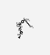 CN(CCCCCCN)C(=O)C1CCC(n2cc(NC(=O)c3coc(-c4ccnc(NCC5CC5)c4)n3)c(C(F)F)n2)CC1